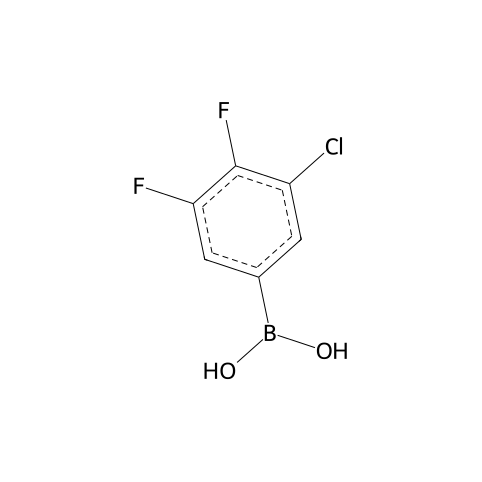 OB(O)c1cc(F)c(F)c(Cl)c1